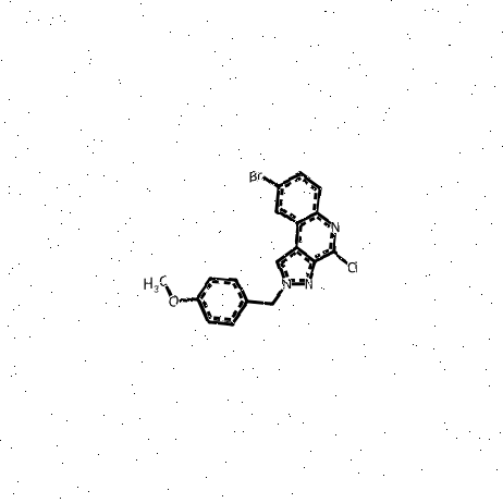 COc1ccc(Cn2cc3c(n2)c(Cl)nc2ccc(Br)cc23)cc1